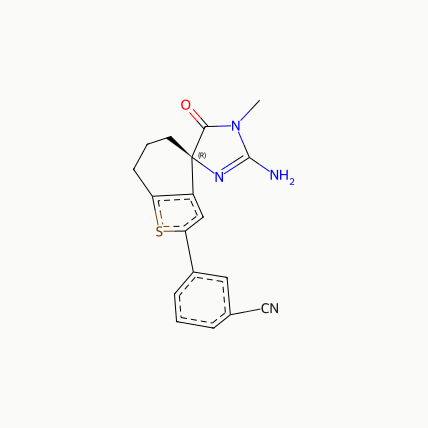 CN1C(=O)[C@]2(CCCc3sc(-c4cccc(C#N)c4)cc32)N=C1N